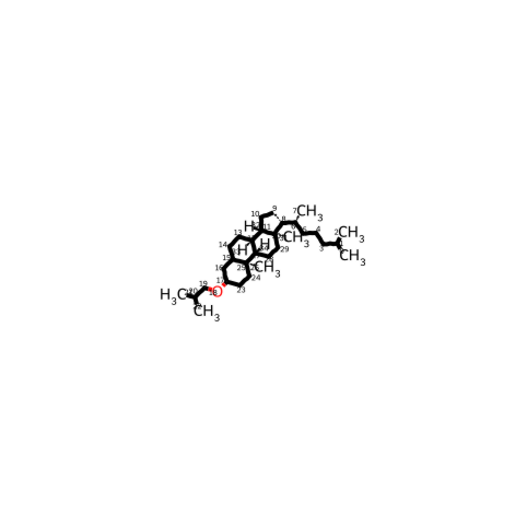 CC(C)CCC[C@@H](C)[C@H]1CC[C@H]2[C@@H]3CCC4CC(OCC(C)C)CC[C@]4(C)[C@H]3CC[C@]12C